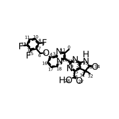 Cc1nc2c(OCc3c(F)ccc(F)c3F)cccn2c1-c1nc2c(c(C(=O)O)n1)C(C)(C)C(=O)N2